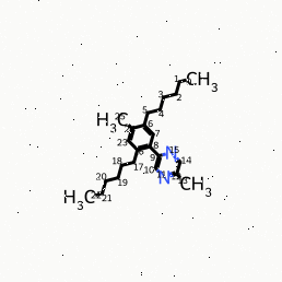 CCCCCCc1cc(-c2cnc(C)cn2)c(CCCCCC)cc1C